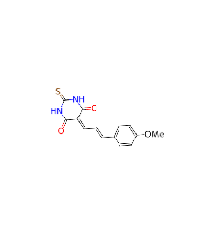 COc1ccc(/C=C/C=C2C(=O)NC(=S)NC2=O)cc1